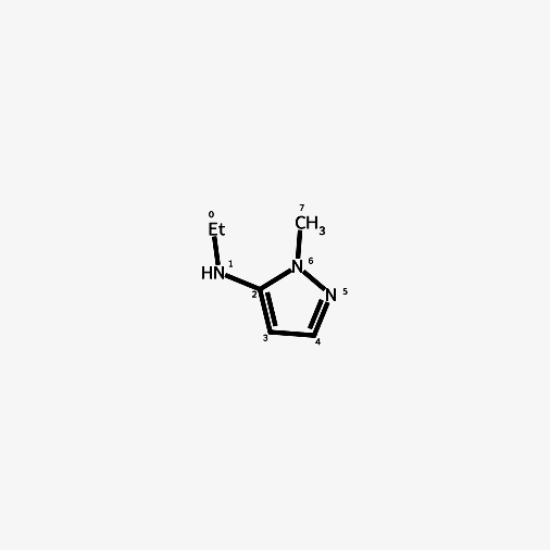 [CH2]CNc1ccnn1C